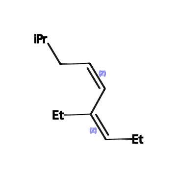 CC/C=C(\C=C/CC(C)C)CC